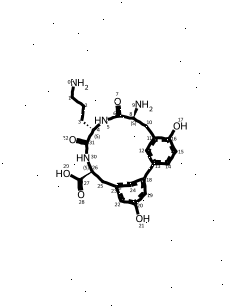 NCCC[C@@H]1NC(=O)[C@@H](N)Cc2cc(ccc2O)-c2cc(O)cc(c2)C[C@@H](C(=O)O)NC1=O